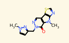 Cn1ccc(Cn2ncc3c4scnc4n(C)c3c2=O)n1